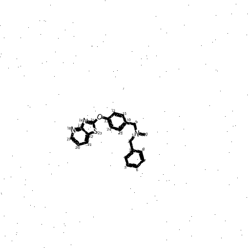 CN(Cc1ccccc1)Cc1ccc(Oc2nc3ncccc3s2)cc1